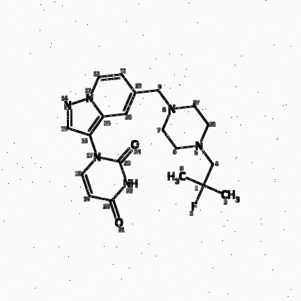 CC(C)(F)CN1CCN(Cc2ccn3ncc(-n4ccc(=O)[nH]c4=O)c3c2)CC1